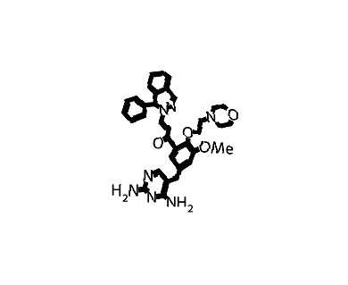 COc1cc(Cc2cnc(N)nc2N)cc(C(=O)/C=C/N2N=Cc3ccccc3C2c2ccccc2)c1OCCN1CCOCC1